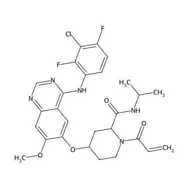 C=CC(=O)N1CCC(Oc2cc3c(Nc4ccc(F)c(Cl)c4F)ncnc3cc2OC)CC1C(=O)NC(C)C